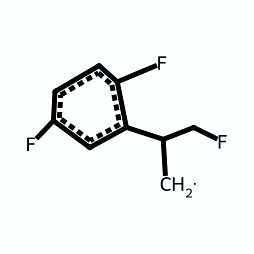 [CH2]C(CF)c1cc(F)ccc1F